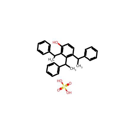 CC(c1ccccc1)c1ccc(O)c(C(C)c2ccccc2)c1C(C)c1ccccc1.O=S(=O)(O)O